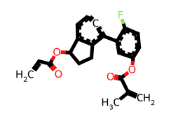 C=CC(=O)OC1CCc2c(-c3cc(OC(=O)C(=C)C)ccc3F)cccc21